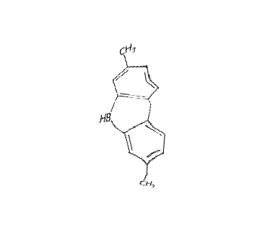 Cc1ccc2c(c1)Bc1cc(C)ccc1-2